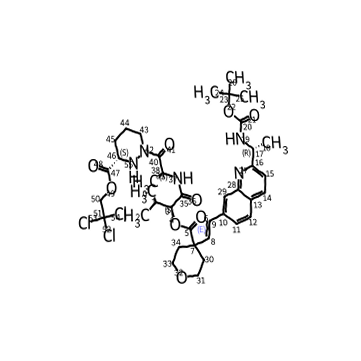 CC(C)[C@H](OC(=O)C1(/C=C/c2ccc3ccc([C@@H](C)NC(=O)OC(C)(C)C)nc3c2)CCOCC1)C(=O)N[C@@H](C)C(=O)N1CCC[C@@H](C(=O)OCC(Cl)(Cl)Cl)N1